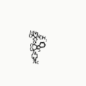 CC(=O)N1CCN(C(=O)c2sc3ccccc3c2C(=O)N2CC3(C2)C(=O)NCN3C)CC1